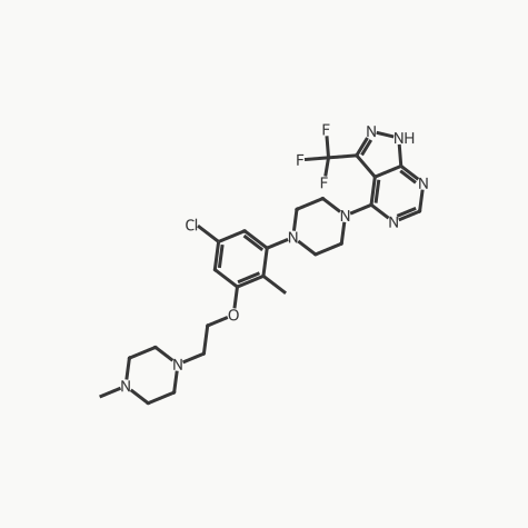 Cc1c(OCCN2CCN(C)CC2)cc(Cl)cc1N1CCN(c2ncnc3[nH]nc(C(F)(F)F)c23)CC1